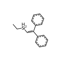 CC[SiH2]C=C(c1ccccc1)c1ccccc1